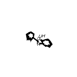 [LiH].[c]1ccccc1-c1nc2ccccc2o1